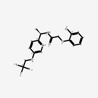 C[C@@H](NC(=O)COc1ccccc1Cl)c1ccc(OCC(F)(F)F)cn1